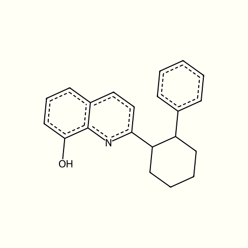 Oc1cccc2ccc(C3CCCCC3c3ccccc3)nc12